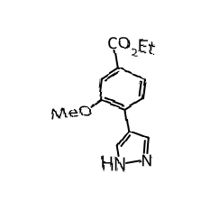 CCOC(=O)c1ccc(-c2cn[nH]c2)c(OC)c1